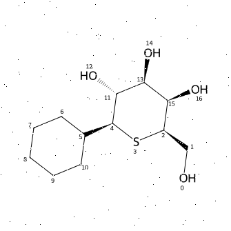 OC[C@H]1S[C@@H](C2C[CH]CCC2)[C@H](O)[C@@H](O)[C@H]1O